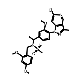 COc1ccc(CN(C(C)c2ccc(-n3nc(C)c4cnc(Cl)cc43)c(OC)c2)S(C)(=O)=O)c(OC)c1